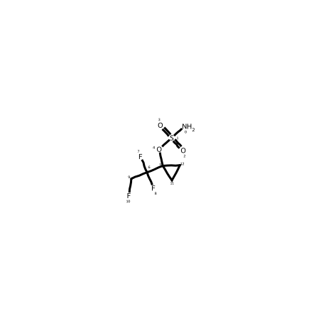 NS(=O)(=O)OC1(C(F)(F)CF)CC1